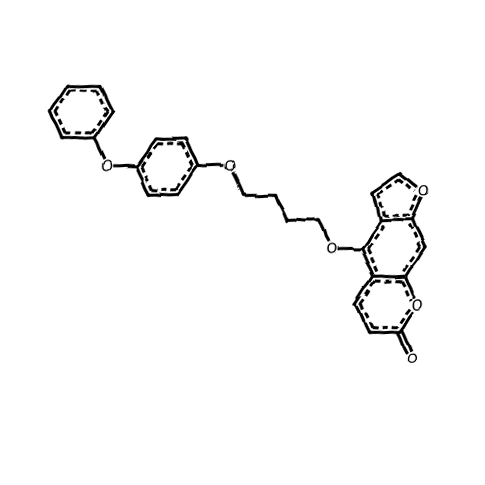 O=c1ccc2c(OCCCCOc3ccc(Oc4ccccc4)cc3)c3ccoc3cc2o1